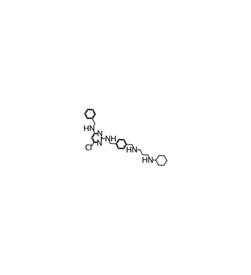 Clc1cc(NCc2ccccc2)nc(NCc2ccc(CNCCCNC3CCCCC3)cc2)n1